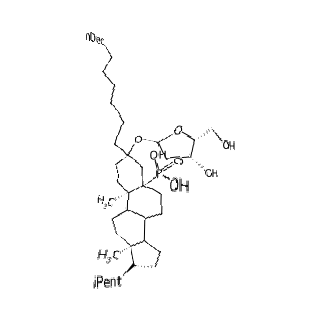 CCCCCCCCCCCCCCCCC1(OC2C[C@@H](O)[C@@H](CO)O2)CC[C@]2(C)C3CC[C@@]4(C)C(CC[C@@H]4[C@H](C)CCC)C3CCC2(P(=O)(O)O)C1